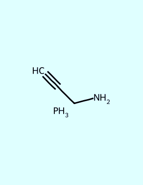 C#CCN.P